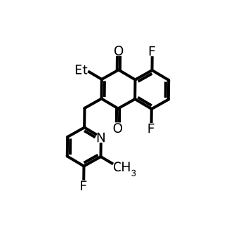 CCC1=C(Cc2ccc(F)c(C)n2)C(=O)c2c(F)ccc(F)c2C1=O